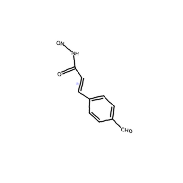 O=Cc1ccc(/C=C/C(=O)NN=O)cc1